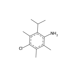 Cc1c(C)c(Cl)c(C)c(C(C)C)c1N